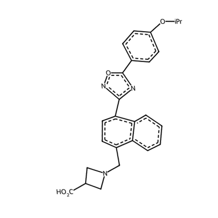 CC(C)Oc1ccc(-c2nc(-c3ccc(CN4CC(C(=O)O)C4)c4ccccc34)no2)cc1